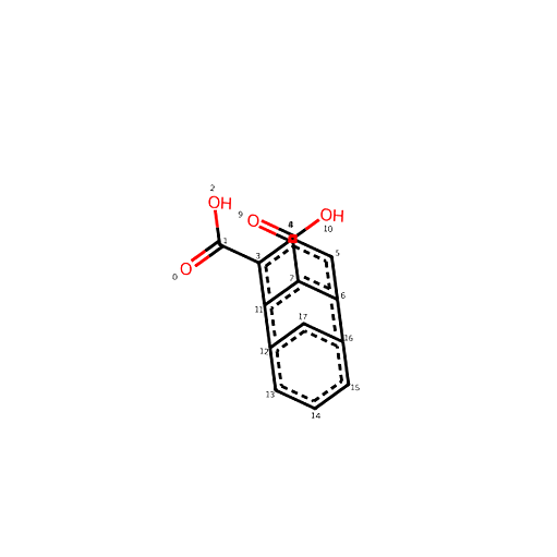 O=C(O)c1ccc2c(C(=O)O)c1c1cccc2c1